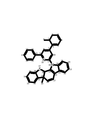 CC1CC=CC=C1c1cc(-c2ccccc2)nc(-n2c3c(c4ccccc42)C=CC2(C)c4ccccc4SC32)c1